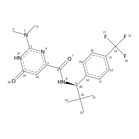 CN(C)c1nc(C(=O)N[C@@H](c2ccc(C(F)(F)F)cc2)C(C)(C)C)cc(=O)[nH]1